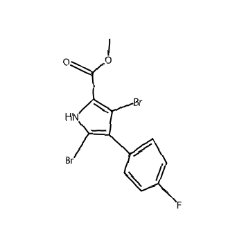 COC(=O)c1[nH]c(Br)c(-c2ccc(F)cc2)c1Br